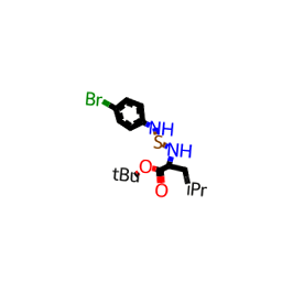 CC(C)CC(NSNc1ccc(Br)cc1)C(=O)OC(C)(C)C